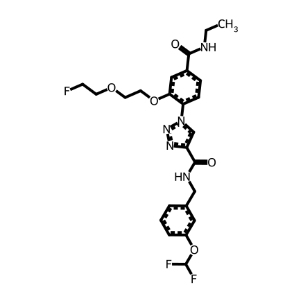 CCNC(=O)c1ccc(-n2cc(C(=O)NCc3cccc(OC(F)F)c3)nn2)c(OCCOCCF)c1